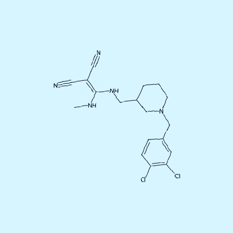 CNC(NCC1CCCN(Cc2ccc(Cl)c(Cl)c2)C1)=C(C#N)C#N